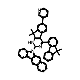 CC1(C)C2=C(C(c3cccc4c3-c3ccccc3C4(C)C)=NC(n3c4ccccc4c4cc5ccccc5cc43)N2)c2ccc(-c3cccnc3)cc21